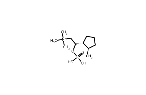 C[C@@H]1CCC[C@H]1C(C[N+](C)(C)C)OP(O)(=S)S